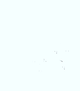 CN(C)C[C@H]1CN(C(=O)OCc2ccccc2)CCN1C(=O)OCc1ccccc1